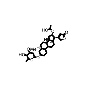 COC1CC(O[C@H]2CCC3C4CCC5C(C[C@H](OC(C)O)[C@@H]5C5=CC(=O)OC5)[C@]4(N)CC[C@@H]3C2)OC(C)C1O